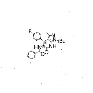 CCC(C)n1nc(C)c2c1NC(=O)[C@@H](NC(=O)c1cccc(C)c1)[C@H]2c1ccc(F)cc1